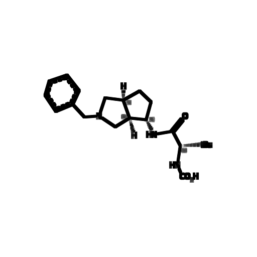 CC(C)(C)[C@H](NC(=O)O)C(=O)N[C@H]1CC[C@@H]2CN(Cc3ccccc3)C[C@@H]21